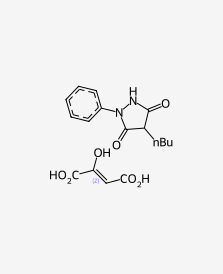 CCCCC1C(=O)NN(c2ccccc2)C1=O.O=C(O)/C=C(\O)C(=O)O